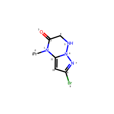 CC(C)N1C(=O)CNn2nc(Br)cc21